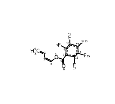 C=C/C=C\OC(=O)c1c(F)c(F)c(F)c(F)c1F